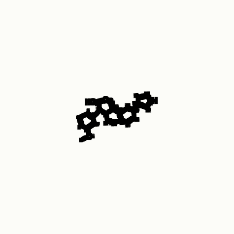 COc1cccc(C(C(=O)O)n2cnc3ccc(-c4cn[nH]c4)cc3c2=O)c1